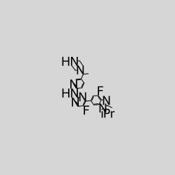 Cc1nc2c(F)cc(-c3nc(Nc4ccc(C(C)N5CCNCC5)cn4)ncc3F)cc2n1C(C)C